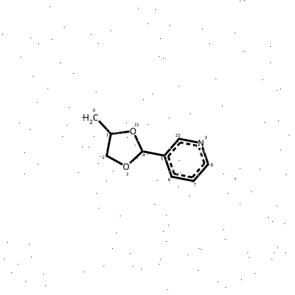 [CH2]C1COC(c2cccnc2)O1